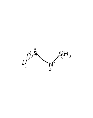 [Li+].[SiH3][N-][SiH3]